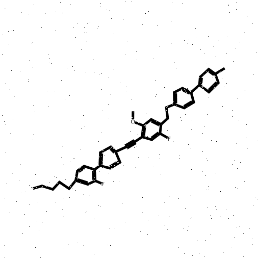 CCCCCc1ccc(-c2ccc(C#Cc3cc(F)c(CCc4ccc(-c5ccc(C)cc5)cc4)cc3OC)cc2)c(F)c1